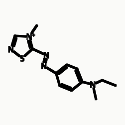 CCN(C)c1ccc(N=Nc2snc[n+]2C)cc1